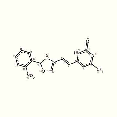 O=c1nc(C(F)(F)F)cc(C=CC2=COC(c3ccccc3[N+](=O)[O-])O2)[nH]1